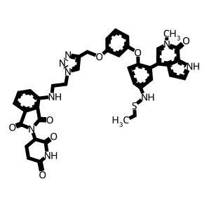 CCSNc1ccc(Oc2cccc(OCc3cn(CCNc4cccc5c4C(=O)N(C4CCC(=O)NC4=O)C5=O)nn3)c2)c(-c2cn(C)c(=O)c3[nH]ccc23)c1